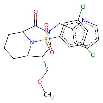 COC[C@H]1CN(Cc2ccccn2)C(=O)C2CCCC1N2S(=O)(=O)c1cc(Cl)cc(Cl)c1